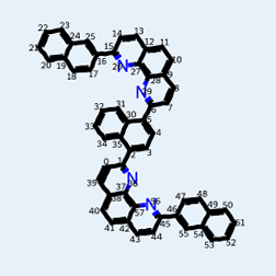 c1c(-c2ccc(-c3ccc4ccc5ccc(-c6ccc7ccccc7c6)nc5c4n3)c3ccccc23)nc2c(c#1)ccc1ccc(-c3ccc4ccccc4c3)nc12